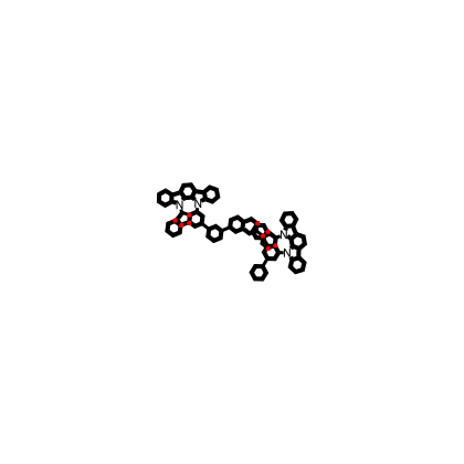 C1=CCC(n2c3ccccc3c3ccc4c5ccccc5n(-c5cc(-c6ccccc6)cc(-c6cccc(-c7ccc8ccc(-c9cccc(-n%10c%11ccccc%11c%11ccc%12c%13ccccc%13n(-c%13cc(-c%14ccccc%14)cc(-c%14ccccc%14)c%13)c%12c%11%10)c9)cc8c7)c6)c5)c4c32)=C1